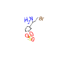 CS(=O)(=O)Oc1cccc(C(N)CCBr)c1